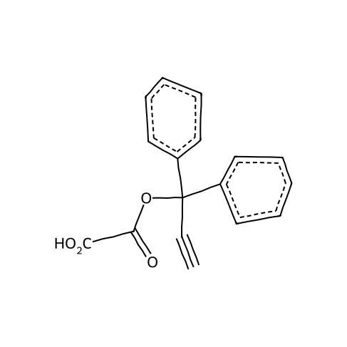 C#CC(OC(=O)C(=O)O)(c1ccccc1)c1ccccc1